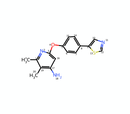 Cc1nc(Oc2ccc(-c3cncs3)cc2)cc(N)c1C